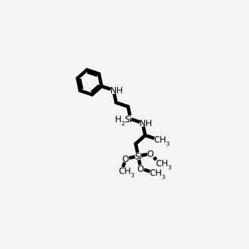 CO[Si](CC(C)N[SiH2]CCNc1ccccc1)(OC)OC